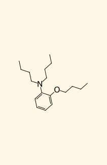 CCCCOc1ccccc1N(CCCC)CCCC